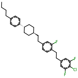 CCCCc1ccc([C@H]2CC[C@H](CCc3ccc(CCc4cc(F)c(Cl)c(F)c4)c(F)c3)CC2)cc1